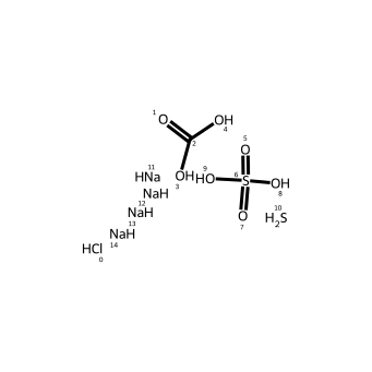 Cl.O=C(O)O.O=S(=O)(O)O.S.[NaH].[NaH].[NaH].[NaH]